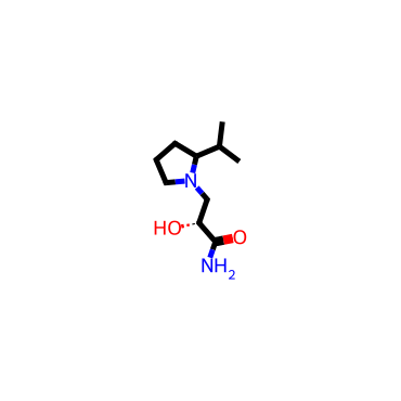 CC(C)C1CCCN1C[C@@H](O)C(N)=O